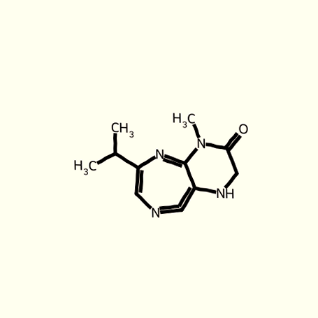 CC(C)C1=CN=C=C2NCC(=O)N(C)C2=N1